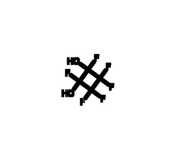 OC1(F)C(O)(F)C(F)(F)C1(F)F